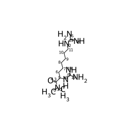 CN(C)C(=O)C(CCCCCCNC(=N)N)NC(=N)N